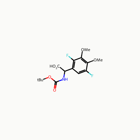 COc1c(F)cc(C(NC(=O)OC(C)(C)C)C(=O)O)c(F)c1OC